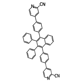 N#Cc1cc(-c2ccc(-c3c(-c4ccccc4)c(-c4ccccc4)c(-c4ccc(-c5ccnc(C#N)c5)cc4)c4ccccc34)cc2)ccn1